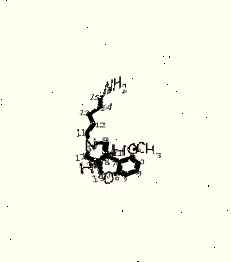 COc1cccc2c1[C@H]1CN(CCCCCN)C[C@@H]1CO2